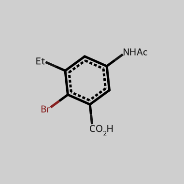 CCc1cc(NC(C)=O)cc(C(=O)O)c1Br